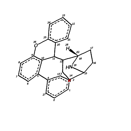 c1cncc(-c2cccc3c2C(C2CCC4CC[C@@H]2N4)c2ccccc2O3)c1